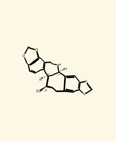 O[C@@H]1Cc2cc3c(cc2[C@@H]2NCc4c(ccc5c4OCO5)[C@H]12)OCO3